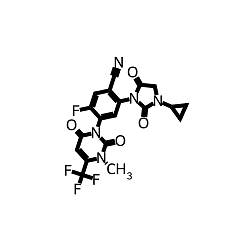 Cn1c(C(F)(F)F)cc(=O)n(-c2cc(N3C(=O)CN(C4CC4)C3=O)c(C#N)cc2F)c1=O